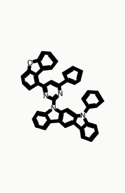 c1ccc(-c2cc(-c3cccc4oc5ccccc5c34)nc(-n3c4ccccc4c4cc5c6ccccc6n(-c6ccccc6)c5cc43)n2)cc1